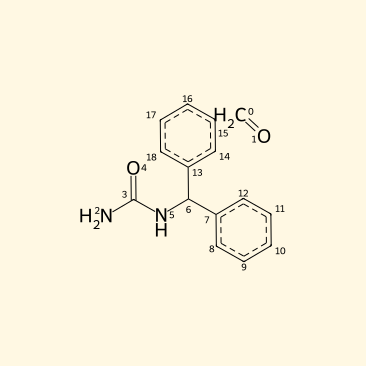 C=O.NC(=O)NC(c1ccccc1)c1ccccc1